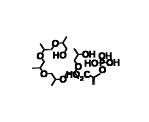 C=C(C)C(=O)O.CC(O)COC(C)COC(C)COC(C)COC(C)COC(C)CO.O=P(O)(O)O